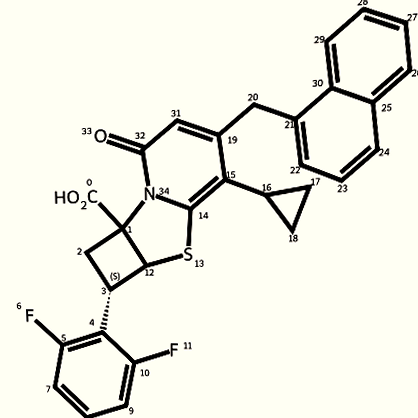 O=C(O)C12C[C@@H](c3c(F)cccc3F)C1Sc1c(C3CC3)c(Cc3cccc4ccccc34)cc(=O)n12